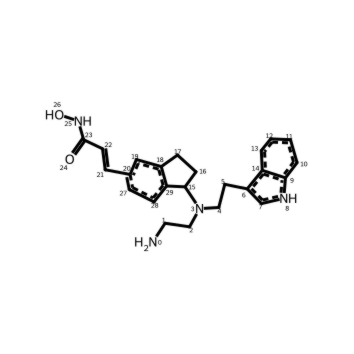 NCCN(CCc1c[nH]c2ccccc12)C1CCc2cc(C=CC(=O)NO)ccc21